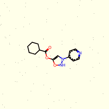 O=C(OC1=CN(c2ccncc2)NO1)C1CCCCC1